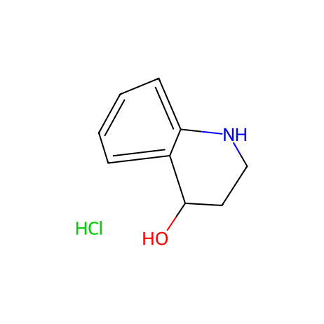 Cl.OC1CCNc2ccccc21